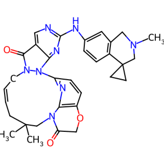 CN1Cc2cc(Nc3ncc4c(=O)n5n(c4n3)-c3ccc4c(n3)N(CC(C)(C)C/C=C\C5)C(=O)CO4)ccc2C2(CC2)C1